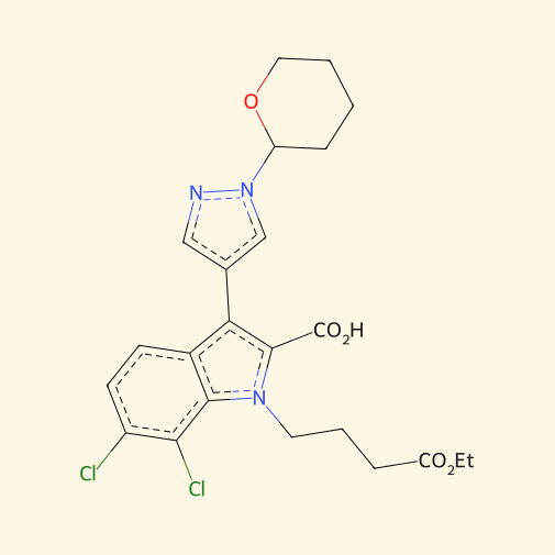 CCOC(=O)CCCn1c(C(=O)O)c(-c2cnn(C3CCCCO3)c2)c2ccc(Cl)c(Cl)c21